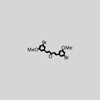 COc1cc(Br)cc(C=CC(=O)C=Cc2cc(Br)cc(OC)c2)c1